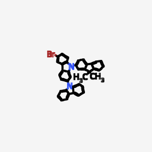 CC1(C)c2ccccc2-c2ccc(-n3c4ccc(Br)cc4c4ccc(-n5c6ccccc6c6ccccc65)cc43)cc21